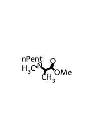 CCCCCN(C)C(C)C(=O)OC